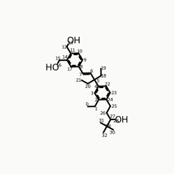 CCc1cc(C(C=Cc2ccc(CO)c(CO)c2)(CC)CC)ccc1CCC(O)C(C)(C)C